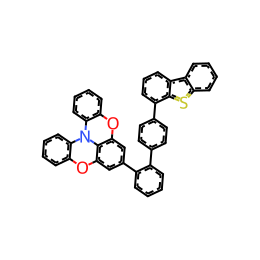 c1ccc2c(c1)Oc1cc(-c3ccccc3-c3ccc(-c4cccc5c4sc4ccccc45)cc3)cc3c1N2c1ccccc1O3